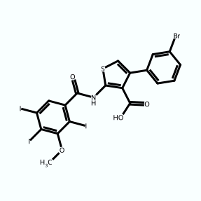 COc1c(I)c(I)cc(C(=O)Nc2scc(-c3cccc(Br)c3)c2C(=O)O)c1I